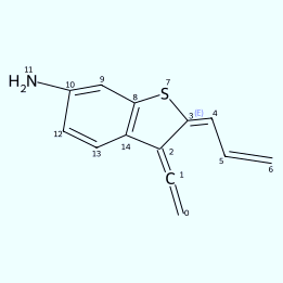 C=C=c1/c(=C\C=C)sc2cc(N)ccc12